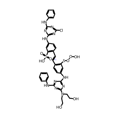 O=S(=O)(O)c1cc(Nc2nc(Cl)nc(Nc3ccccc3)n2)ccc1/C=C/c1ccc(Nc2nc(Nc3ccccc3)nc(N(CCO)CCO)n2)cc1SOOO